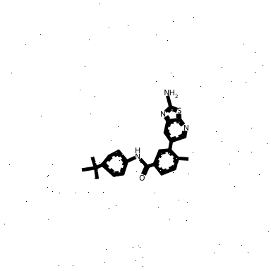 Cc1ccc(C(=O)Nc2ccc(C(C)(C)C)cc2)cc1-c1cnc2sc(N)nc2c1